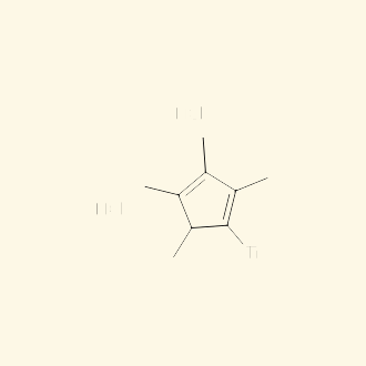 CC1=C(C)C(C)[C]([Ti])=C1C.Cl.Cl